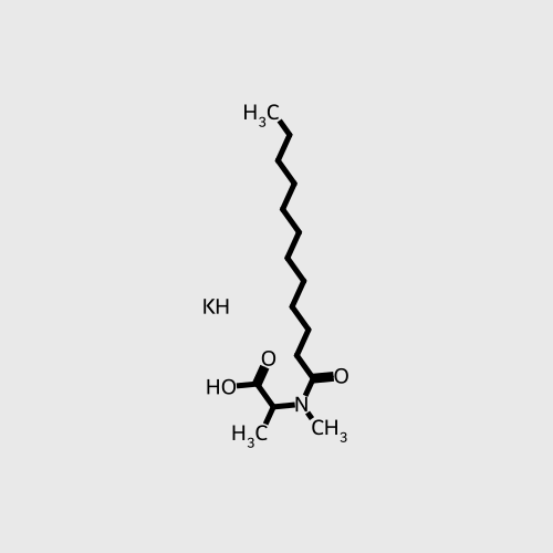 CCCCCCCCCCCC(=O)N(C)C(C)C(=O)O.[KH]